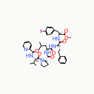 COC(=O)[C@H](Cc1ccc(I)cc1)NC(=O)[C@H](CCc1ccccc1)NC(=O)[C@H](CC(C)C)NC(=O)[C@@H]1CCCN1C(=O)[C@@H](NC(=O)c1ccccn1)C(C)C